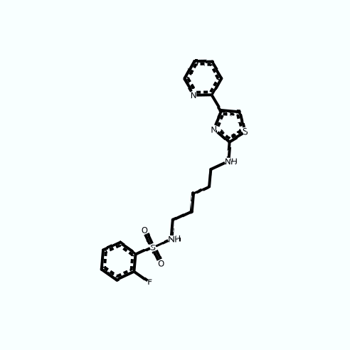 O=S(=O)(NCCCCCNc1nc(-c2ccccn2)cs1)c1ccccc1F